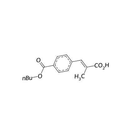 CCCCOC(=O)c1ccc(C=C(C)C(=O)O)cc1